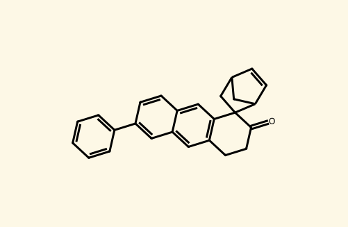 O=C1CCc2cc3cc(-c4ccccc4)ccc3cc2C12CC1C=CC2C1